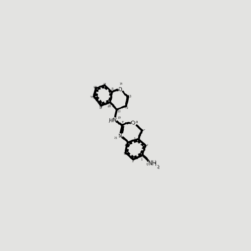 Nc1ccc2c(c1)COC(NC1CCOc3ccccc31)=N2